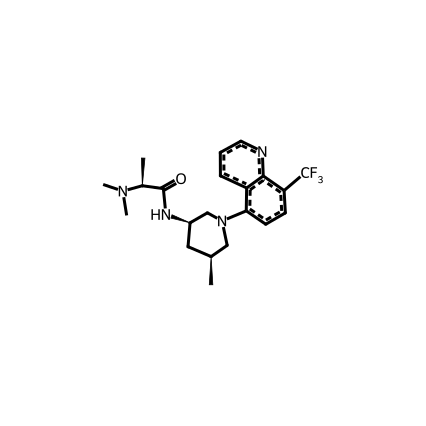 C[C@H]1C[C@@H](NC(=O)[C@H](C)N(C)C)CN(c2ccc(C(F)(F)F)c3ncccc23)C1